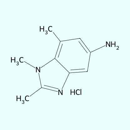 Cc1cc(N)cc2nc(C)n(C)c12.Cl